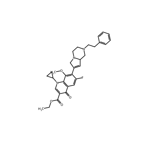 CCOC(=O)c1cn(C2CC2)c2c(OC)c(C3=CC4CN(CCc5ccccc5)CCN4C3)c(F)cc2c1=O